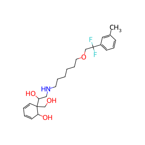 Cc1cccc(C(F)(F)COCCCCCCNCC(O)C2(CO)C=CC=CC2O)c1